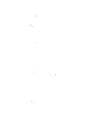 CCCCNC(=O)Oc1cccc(NC(=O)C=C(C)OC)c1